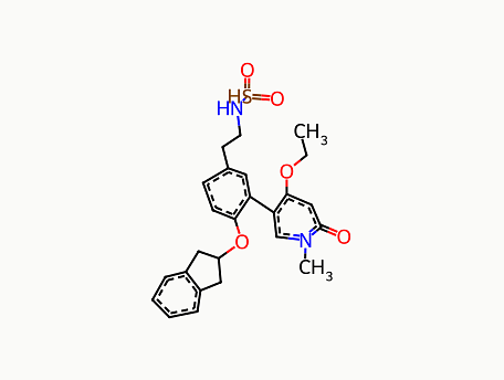 CCOc1cc(=O)n(C)cc1-c1cc(CCN[SH](=O)=O)ccc1OC1Cc2ccccc2C1